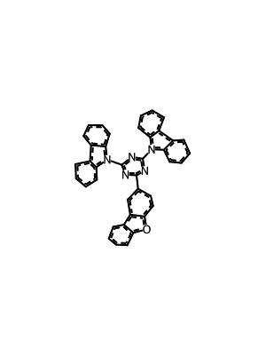 c1ccc2c(c1)oc1ccc(-c3nc(-n4c5ccccc5c5ccccc54)nc(-n4c5ccccc5c5ccccc54)n3)cc12